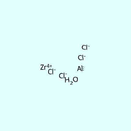 O.[Al].[Cl-].[Cl-].[Cl-].[Cl-].[Zr+4]